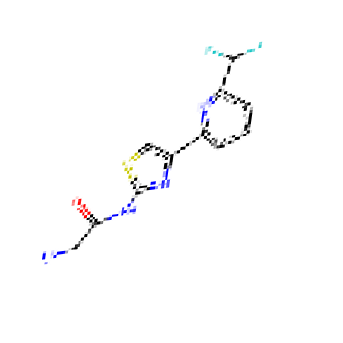 NCC(=O)Nc1nc(-c2cccc(C(F)F)n2)cs1